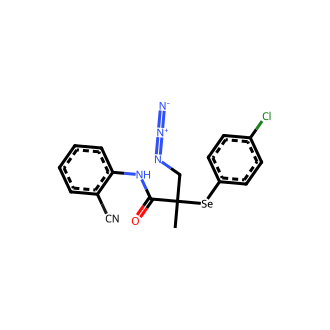 CC(CN=[N+]=[N-])([Se]c1ccc(Cl)cc1)C(=O)Nc1ccccc1C#N